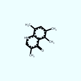 Cc1cc(C)c2[nH]cc(C)c(=O)c2c1C